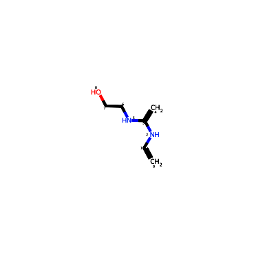 C=CNC(=C)NCCO